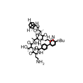 CCCCc1ccc(-c2ccc(C(=O)N[C@@H](CCN)C(=O)NC(C(=O)N[C@@H](C)C(=O)N[C@@H](CCCCN)C(=O)N[C@@H](C)B3O[C@@H]4C[C@@H]5C[C@@H](C5(C)C)[C@]4(C)O3)[C@H](C)O)cc2)cc1